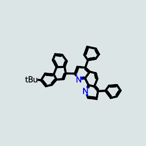 CC(C)(C)c1ccc2cc(-c3cc(-c4ccccc4)c4ccc5c(-c6ccccc6)ccnc5c4n3)c3ccccc3c2c1